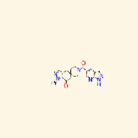 CC(C)n1ncc2c1C(=O)CC1(CCN(C(=O)c3cnc4[nH]ncc4c3)CC1)C2